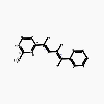 C/C(=C\C(C)=C(/C)c1ccccc1)c1ccnc(N)n1